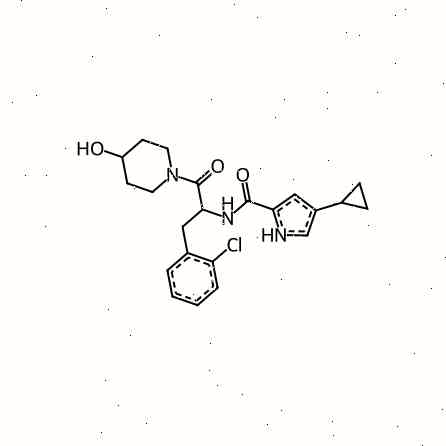 O=C(NC(Cc1ccccc1Cl)C(=O)N1CCC(O)CC1)c1cc(C2CC2)c[nH]1